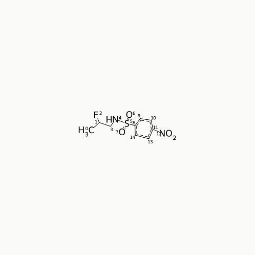 CC(F)CNS(=O)(=O)c1ccc([N+](=O)[O-])cc1